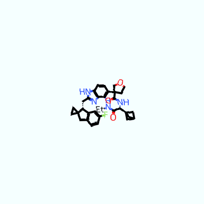 CCNC(=O)[C@H](NC(=O)C1(c2ccc3[nH]c(C[C@@H]4c5cc(F)ccc5CC45CC5)nc3c2)CCOC1)C12CC(C1)C2